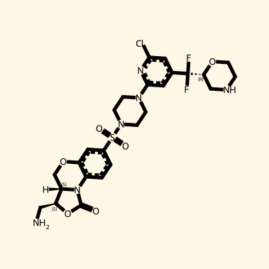 NC[C@@H]1OC(=O)N2c3ccc(S(=O)(=O)N4CCN(c5cc(C(F)(F)[C@H]6CNCCO6)cc(Cl)n5)CC4)cc3OC[C@@H]12